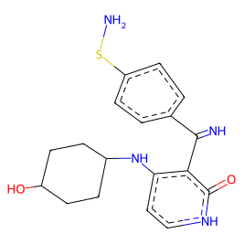 N=C(c1ccc(SN)cc1)c1c(NC2CCC(O)CC2)cc[nH]c1=O